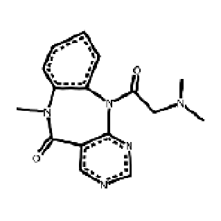 CN(C)CC(=O)N1c2ccccc2N(C)C(=O)c2cncnc21